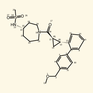 COCc1ccc(-c2ccccc2[C@@H]2C[C@H]2C(=O)N2CCC[C@H](NS(C)(=O)=O)CC2)cc1